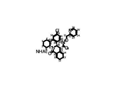 CC(=O)N[C@H]1CCCC[C@@H]1N1C(=O)C2=CCCC=C2[C@@H](C(=O)NOCc2ccccn2)[C@@H]1c1ccc(Cl)cc1Cl